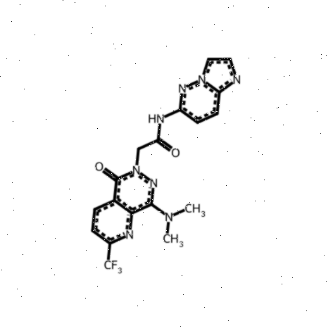 CN(C)c1nn(CC(=O)Nc2ccc3nccn3n2)c(=O)c2ccc(C(F)(F)F)nc12